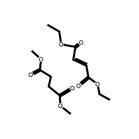 CCOC(=O)C=CC(=O)OCC.COC(=O)CCC(=O)OC